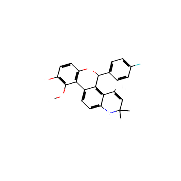 COc1c(O)ccc2c1-c1ccc3c(c1C(c1ccc(F)cc1)O2)C(C)=CC(C)(C)N3